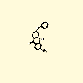 Nc1ccc(C(=O)N2CCC(Oc3ccccc3)CC2)c(O)c1